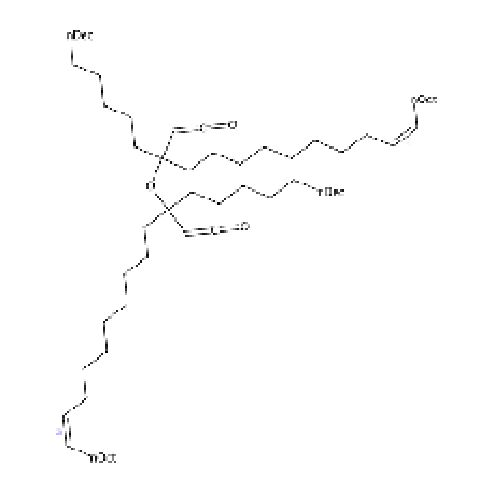 CCCCCCCC/C=C\CCCCCCCCC(C=C=O)(CCCCCCCCCCCCCCC)OC(C=C=O)(CCCCCCCC/C=C\CCCCCCCC)CCCCCCCCCCCCCCC